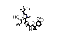 C=C/C(F)=C\C=C(\F)C(N[C@@H](CO)CC(C)C)c1cnc(NC(=O)C2(c3ccc4c(c3)OCO4)CC2)s1